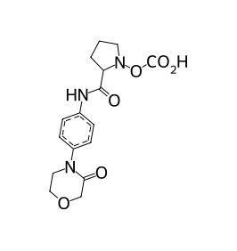 O=C(O)ON1CCCC1C(=O)Nc1ccc(N2CCOCC2=O)cc1